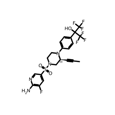 CC#C[C@H]1CN(S(=O)(=O)c2cnc(N)c(F)c2)CCN1c1ccc(C(O)(C(F)(F)F)C(F)(F)F)cc1